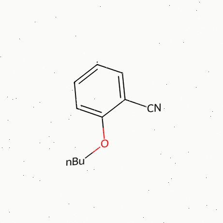 CCCCOc1cc[c]cc1C#N